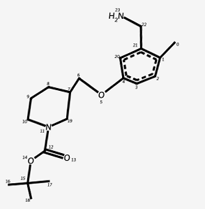 Cc1ccc(OCC2CCCN(C(=O)OC(C)(C)C)C2)cc1CN